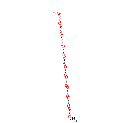 COCCCCOOCCCCOOCCCCOOCCCCOOCCCCOOCCCCOOCCCCOOCCCCOOCCCCOOCCCCOC